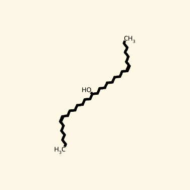 CCCCCC/C=C\CCCCCCCCC(O)CCCCCCC/C=C\CCCCCC